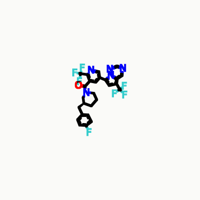 O=C(c1cc(-c2cc(C(F)(F)F)c3cncnn23)cnc1C(F)(F)F)N1CCC[C@@H](Cc2ccc(F)cc2)C1